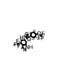 O=S(=O)(N[C@H]1Cc2[nH]ncc2[C@@H](C(F)(F)F)C1)c1ccc(OC(F)(F)F)cc1